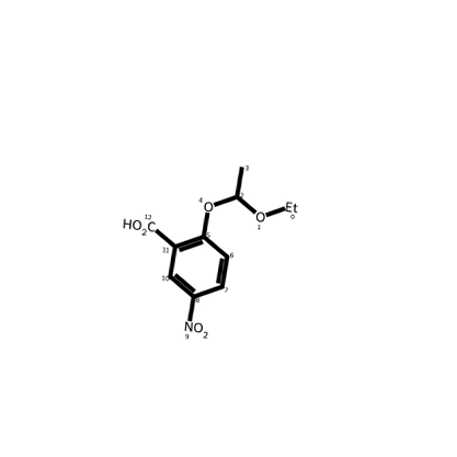 CCOC(C)Oc1ccc([N+](=O)[O-])cc1C(=O)O